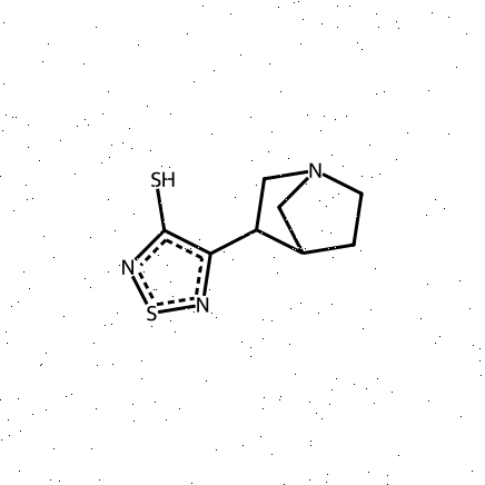 Sc1nsnc1C1CN2CCC1C2